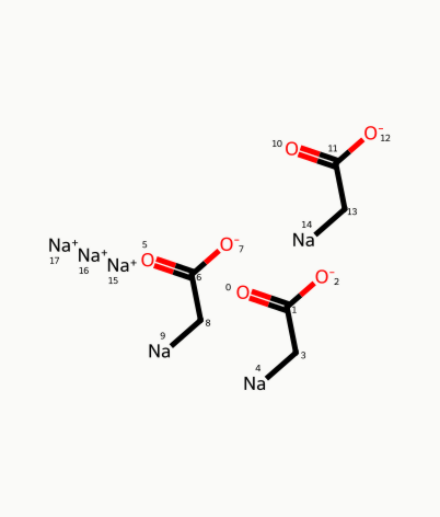 O=C([O-])[CH2][Na].O=C([O-])[CH2][Na].O=C([O-])[CH2][Na].[Na+].[Na+].[Na+]